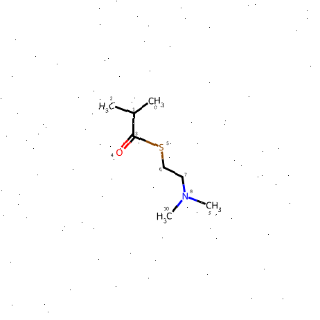 CC(C)C(=O)SCCN(C)C